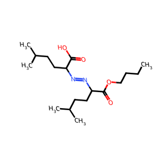 CCCCOC(=O)C(CCC(C)C)N=NC(CCC(C)C)C(=O)O